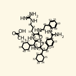 CC(=O)O.N=C(N)NCCC[C@H](NC(=O)C(NC(=O)C(Cc1ccc(C(=N)N)cc1)C1CCCCC1)C1CCCCC1)C(=O)NCCc1ccccc1